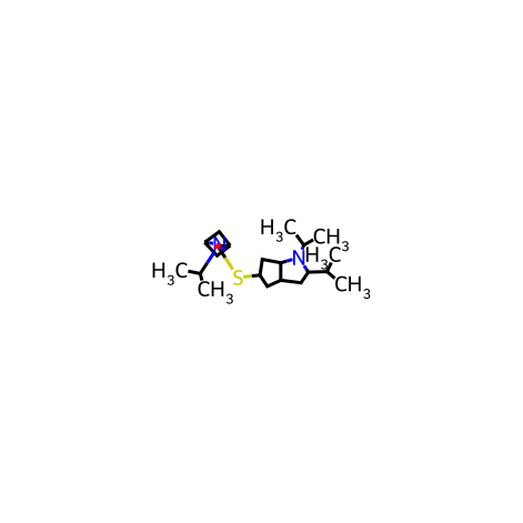 CC(C)C1CC2CC(SC3C4CC(C4)N3C(C)C)CC2N1C(C)C